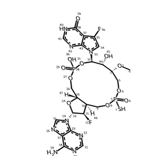 CO[C@@H]1COP(=O)(S)OC[C@H]2[C@@H](F)[C@H](n3cnc4c(N)ncnc43)O[C@@H]2COP(=O)(O)O[C@@H](n2cc(F)c3c(=O)[nH]cnc32)[C@@H]1O